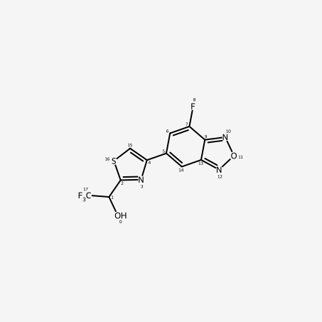 OC(c1nc(-c2cc(F)c3nonc3c2)cs1)C(F)(F)F